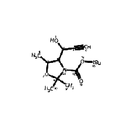 C#CC(O)C1C(C)OC(C)(C)N1C(=O)OC(C)(C)C